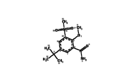 COc1c(C(N)=O)cc(C(C)(C)C)cc1S(C)(=O)=O